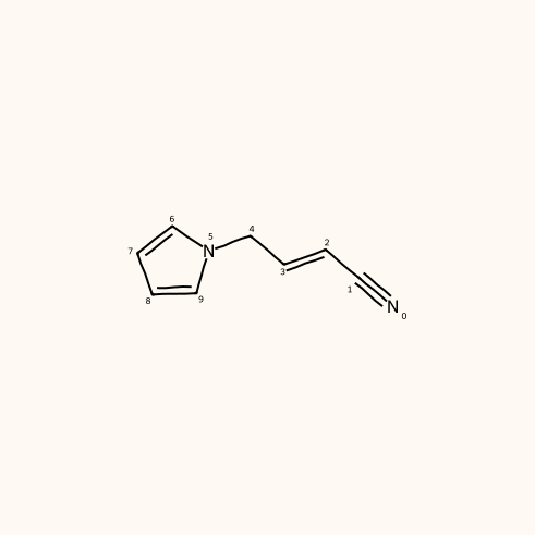 N#CC=CCn1cccc1